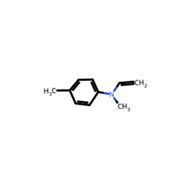 C=CN(C)c1ccc(C)cc1